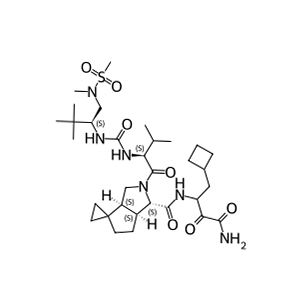 CC(C)[C@H](NC(=O)N[C@H](CN(C)S(C)(=O)=O)C(C)(C)C)C(=O)N1C[C@H]2[C@H](CCC23CC3)[C@H]1C(=O)NC(CC1CCC1)C(=O)C(N)=O